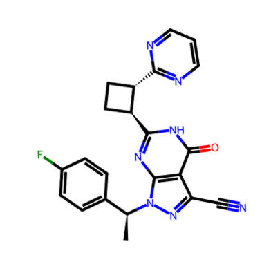 C[C@@H](c1ccc(F)cc1)n1nc(C#N)c2c(=O)[nH]c([C@H]3CC[C@@H]3c3ncccn3)nc21